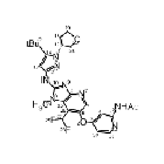 CC(=O)Nc1cc(Oc2cnc3nc(Nc4cc(C(C)(C)C)n([C@@H]5CCOC5)n4)n(C)c3c2C(F)F)ccn1